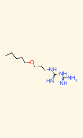 CCCCCOCCCNC(=N)NC(=N)N